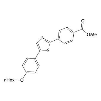 CCCCCCOc1ccc(-c2cnc(-c3ccc(C(=O)OC)cc3)s2)cc1